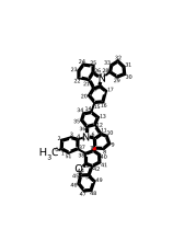 Cc1ccc(-n2c3ccccc3c3cc(-c4ccc5c(c4)c4ccccc4n5-c4ccccc4)ccc32)c(-c2cccc3c2oc2ccccc23)c1